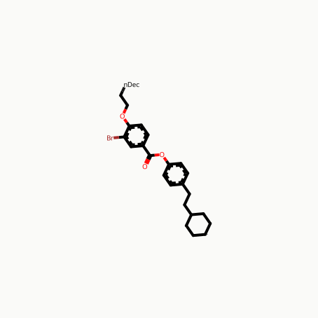 CCCCCCCCCCCCOc1ccc(C(=O)Oc2ccc(CCC3CC[CH]CC3)cc2)cc1Br